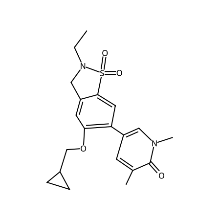 CCN1Cc2cc(OCC3CC3)c(-c3cc(C)c(=O)n(C)c3)cc2S1(=O)=O